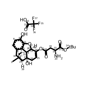 CN1CC[C@]23c4c5ccc(O)c4O[C@H]2C(OC(=O)C[C@H](N)C(=O)OC(C)(C)C)=CC[C@@]3(O)[C@H]1C5.O=C(O)C(F)(F)F